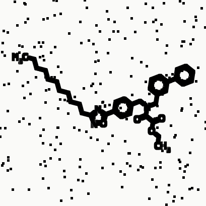 CCCCCCCCCCCc1noc(-c2ccc(CN(Cc3cccc(-c4ccccc4)c3)C(=O)C(=O)OCC)cc2)n1